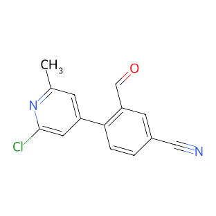 Cc1cc(-c2ccc(C#N)cc2C=O)cc(Cl)n1